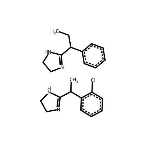 CC(C1=NCCN1)c1ccccc1Cl.CCC(C1=NCCN1)c1ccccc1